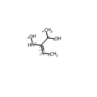 C/N=C(/NO)C(C)O